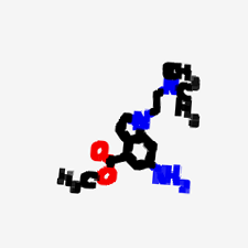 COC(=O)c1cc(N)cc2c1ccn2CCN(C)C